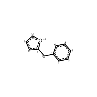 [C](c1ccccc1)c1ccco1